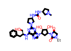 CCN1CC(=O)N([C@H]2C[C@@H](n3cnc4c(N[C@H](CO)Cc5ccccc5)nc(N5CC[C@@H](NC(=O)N[C@@H]6CCN(C)C6)C5)nc43)[C@H](O)[C@@H]2O)C1=O